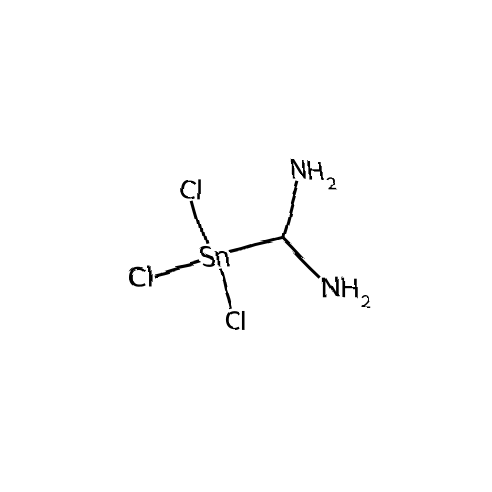 N[CH](N)[Sn]([Cl])([Cl])[Cl]